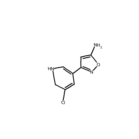 Nc1cc(C2=CNCC(Cl)=C2)no1